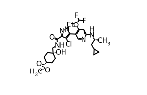 CCn1nc(C(=O)NC[C@]2(O)CC[C@@H](S(C)(=O)=O)CC2)c(Cl)c1-c1cnc(N[C@@H](C)CC2CC2)cc1OC(F)F